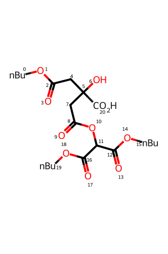 CCCCOC(=O)CC(O)(CC(=O)OC(C(=O)OCCCC)C(=O)OCCCC)C(=O)O